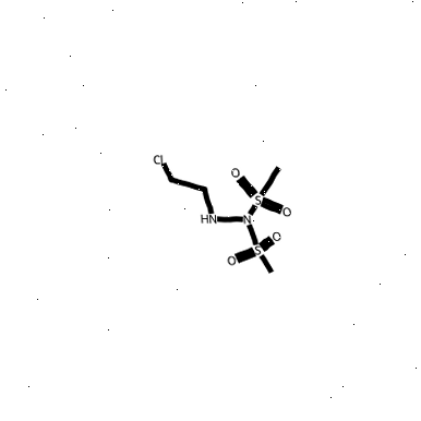 CS(=O)(=O)N(NCCCl)S(C)(=O)=O